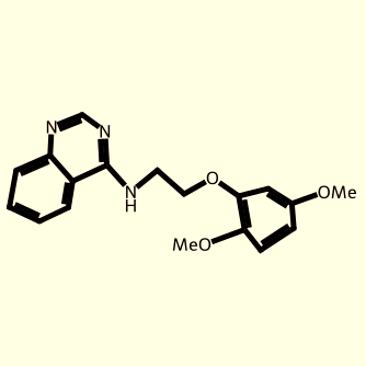 COc1ccc(OC)c(OCCNc2ncnc3ccccc23)c1